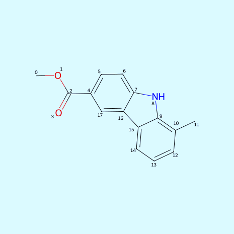 COC(=O)c1ccc2[nH]c3c(C)cccc3c2c1